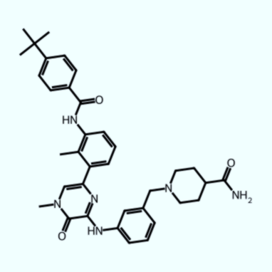 Cc1c(NC(=O)c2ccc(C(C)(C)C)cc2)cccc1-c1cn(C)c(=O)c(Nc2cccc(CN3CCC(C(N)=O)CC3)c2)n1